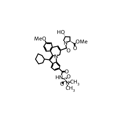 COC(=O)[C@@H]1C[C@@H](O)CN1C(=O)C1=Cc2cc(OC)ccc2-c2c(C3CCCCC3)c3ccc(C(=O)NS(=O)(=O)N(C)C)cc3n2C1